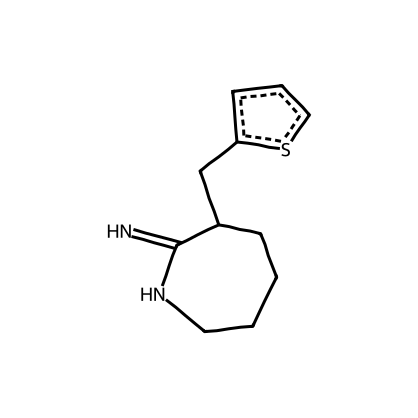 N=C1NCCCCC1Cc1cccs1